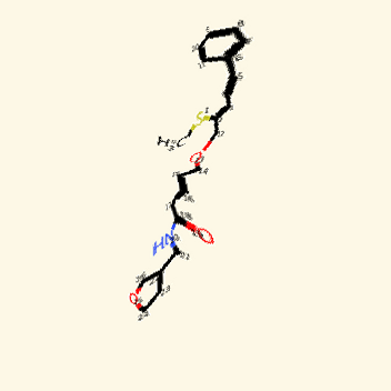 CS/C(=C\C=C\c1ccccc1)COC/C=C/CC(=O)NCC1CCOC1